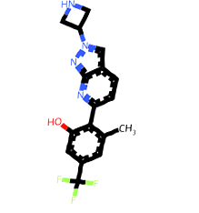 Cc1cc(C(F)(F)F)cc(O)c1-c1ccc2cn(C3CNC3)nc2n1